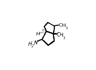 CC1CC[C@@H]2C(N)CCC12C